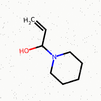 C=C[C](O)N1CCCCC1